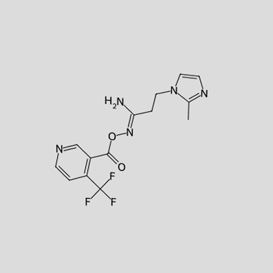 Cc1nccn1CCC(N)=NOC(=O)c1cnccc1C(F)(F)F